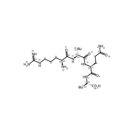 CC[C@H](C)[C@H](NC(=O)[C@H](CCC(N)=O)NC(=O)[C@@H](NC(=O)[C@@H](N)CCCNC(=N)N)[C@@H](C)CC)C(=O)O